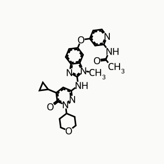 CC(=O)Nc1cc(Oc2ccc3nc(Nc4cc(C5CC5)c(=O)n(C5CCOCC5)n4)n(C)c3c2)ccn1